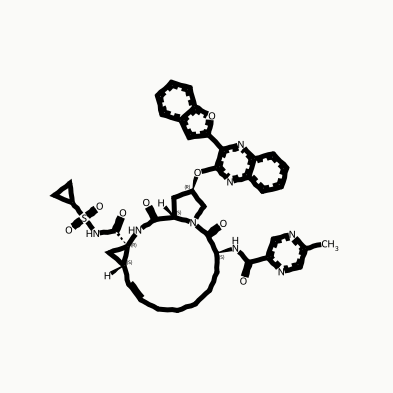 Cc1cnc(C(=O)N[C@H]2CCCCCC=C[C@@H]3C[C@@]3(C(=O)NS(=O)(=O)C3CC3)NC(=O)[C@@H]3C[C@@H](Oc4nc5ccccc5nc4-c4cc5ccccc5o4)CN3C2=O)cn1